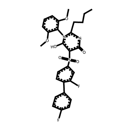 CCCCc1nc(=O)c(S(=O)(=O)c2ccc(-c3ccc(F)cc3)c(F)c2)c(O)n1-c1c(OC)cccc1OC